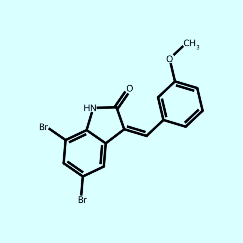 COc1cccc(C=C2C(=O)Nc3c(Br)cc(Br)cc32)c1